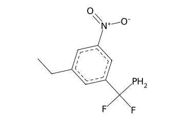 CCc1cc([N+](=O)[O-])cc(C(F)(F)P)c1